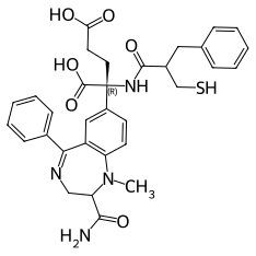 CN1c2ccc([C@@](CCC(=O)O)(NC(=O)C(CS)Cc3ccccc3)C(=O)O)cc2C(c2ccccc2)=NCC1C(N)=O